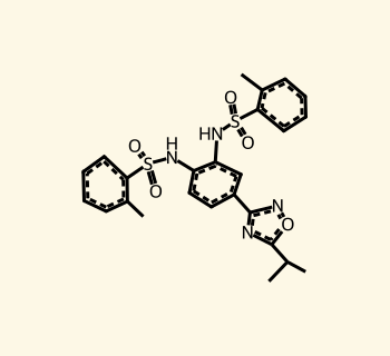 Cc1ccccc1S(=O)(=O)Nc1ccc(-c2noc(C(C)C)n2)cc1NS(=O)(=O)c1ccccc1C